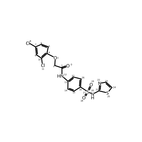 O=C(COc1ccc(Cl)cc1Cl)Nc1ccc(S(=O)(=O)Nc2nccs2)cc1